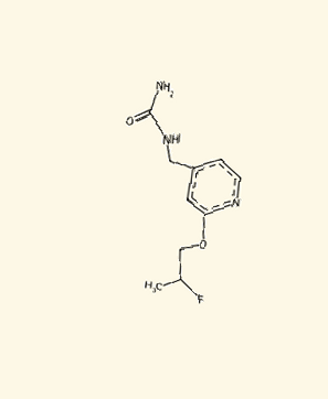 CC(F)COc1cc(CNC(N)=O)ccn1